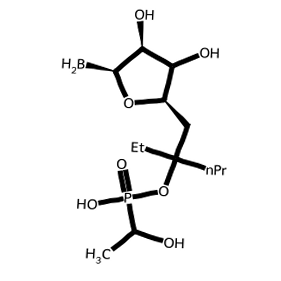 B[C@@H]1O[C@H](CC(CC)(CCC)OP(=O)(O)C(C)O)C(O)[C@@H]1O